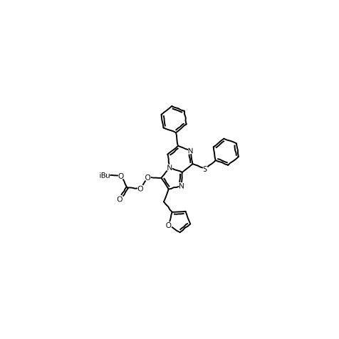 CCC(C)OC(=O)OOc1c(Cc2ccco2)nc2c(Sc3ccccc3)nc(-c3ccccc3)cn12